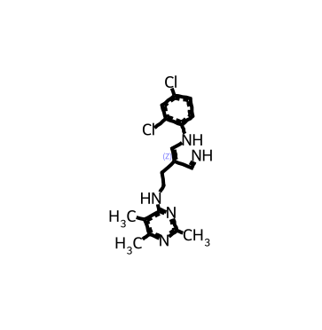 Cc1nc(C)c(C)c(NCC/C(C=N)=C/Nc2ccc(Cl)cc2Cl)n1